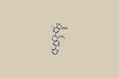 COc1cc(N2CCc3nc(-c4ncccn4)ncc3C2C)nc(F)c1C